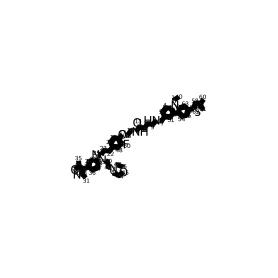 CCn1c2ccc(CNCCCC(=O)NCCOc3ccc(CCc4nc5cc(-c6c(C)noc6C)ccc5n4CCN4CCOCC4)cc3F)cc2c2ccc(-c3cc(C)cs3)cc21